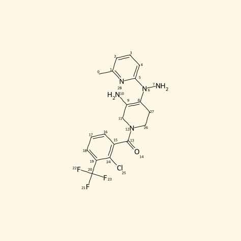 Cc1cccc(N(N)C2=C(N)CN(C(=O)c3cccc(C(F)(F)F)c3Cl)CC2)n1